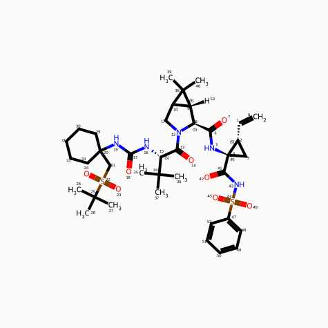 C=C[C@@H]1C[C@]1(NC(=O)[C@@H]1[C@@H]2C(CN1C(=O)[C@@H](NC(=O)NC1(CS(=O)(=O)C(C)(C)C)CCCCC1)C(C)(C)C)C2(C)C)C(=O)NS(=O)(=O)c1ccccc1